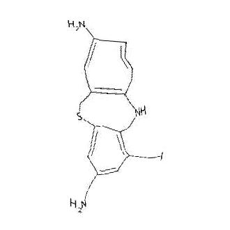 Nc1ccc2c(c1)Sc1cc(N)cc(I)c1N2